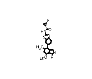 CCOc1cc(C)c(-c2ccc3nc(NC(=O)[C@@H]4C[C@@H]4F)sc3c2)c2cn[nH]c12